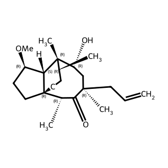 C=CC[C@]1(C)C[C@@H](O)[C@]2(C)[C@H](C)CC[C@]3(CC[C@@H](OC)[C@@H]32)[C@@H](C)C1=O